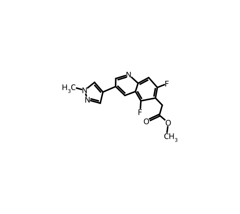 COC(=O)Cc1c(F)cc2ncc(-c3cnn(C)c3)cc2c1F